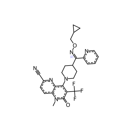 Cn1c(=O)c(C(F)(F)F)c(N2CCC(/C(=N/OCC3CC3)c3ccccn3)CC2)c2nc(C#N)ccc21